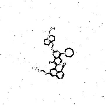 C#Cc1cccc2cc(OCOC)cc(-c3ncc4c(N5CCCCCC5)nc(OC[C@@]56CCCN5[C@H](CO)CC6)nc4c3F)c12